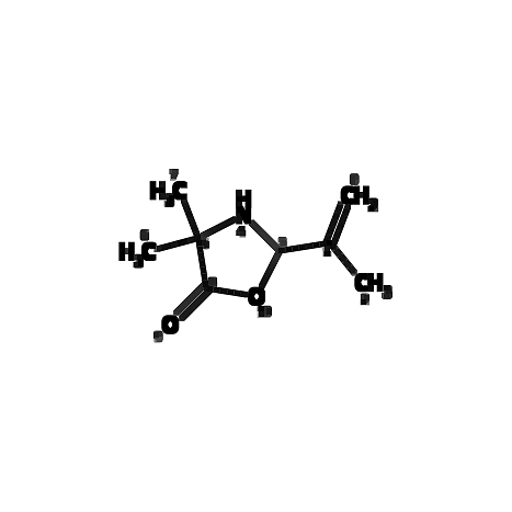 C=C(C)C1NC(C)(C)C(=O)O1